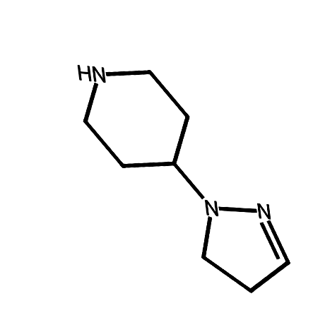 C1=NN(C2CCNCC2)CC1